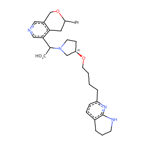 CC(C)C1Cc2c(cncc2C(C(=O)O)N2CC[C@@H](OCCCCc3ccc4c(n3)NCCC4)C2)CO1